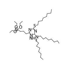 CCCCCCCCSC1=NC(N(CCCCCCCC)CCCCCCCC)N(N)C(CCC[Si](OCC)(OCC)OCC)=N1